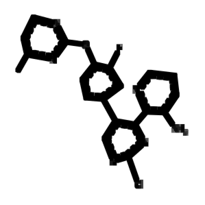 Cc1ccnc(Oc2ccc(-c3cnc(Cl)nc3-c3ncccc3N)cc2F)n1